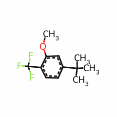 COc1cc(C(C)(C)C)ccc1C(F)(F)F